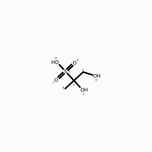 [CH2]C(O)(CO)S(=O)(=O)O